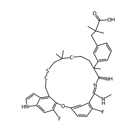 CN/C1=N\C(=N)C(C)(c2cccc(CC(C)(C)C(=O)O)c2)CCCC(C)(C)CSCCc2c(c(F)cc3[nH]ccc23)Oc2ccc(F)c1c2